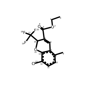 CCOC(=O)C1=Cc2c(C)ccc(Cl)c2OC1C(F)(F)F